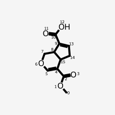 COC(=O)C1=COCC2C(C(=O)O)=CCC12